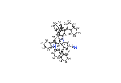 N#Cc1cc2c(c3c1C1CCC3c3ccccc31)c1c3c(cc4c5c6c(c(-c7cccc8ccccc78)cc5n2c41)C1CC2CC(C1)CC6C2)c1ccccc1n3-c1ccccc1